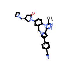 Cc1nnc2n1-c1ccc(N3C[C@@H](CN4CCC4)CC3=O)cc1Cn1cc(-c3ccc(C#N)cc3)cc1-2